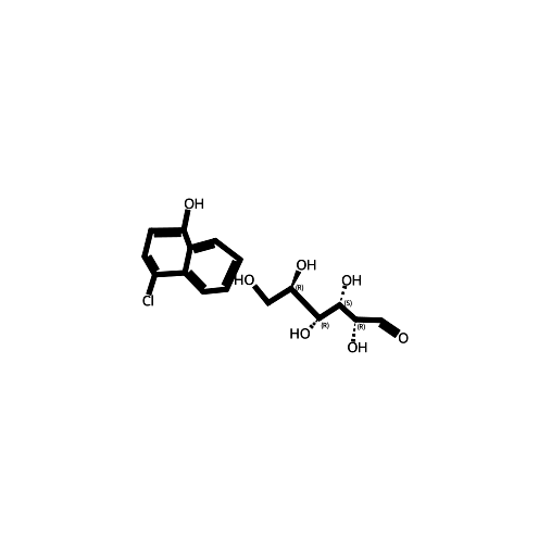 O=C[C@H](O)[C@@H](O)[C@H](O)[C@H](O)CO.Oc1ccc(Cl)c2ccccc12